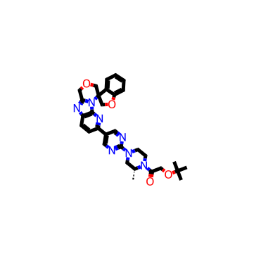 C[C@@H]1CN(c2ncc(-c3ccc4nc5n(c4n3)C3(COC5)COc4ccccc43)cn2)CCN1C(=O)COC(C)(C)C